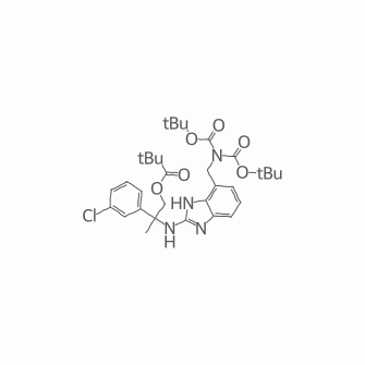 CC(C)(C)OC(=O)N(Cc1cccc2nc(NC(C)(COC(=O)C(C)(C)C)c3cccc(Cl)c3)[nH]c12)C(=O)OC(C)(C)C